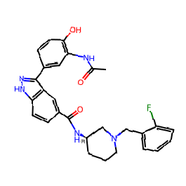 CC(=O)Nc1cc(-c2n[nH]c3ccc(C(=O)N[C@@H]4CCCN(Cc5ccccc5F)C4)cc23)ccc1O